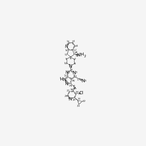 N#Cc1nc(N2CCC3(CC2)Cc2ncccc2[C@H]3N)nc2[nH]nc(Sc3ccnc(C4CC4)c3Cl)c12